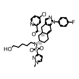 Cn1ccc(S(=O)(=O)N(CCCCCO)[C@H]2CCC3=Cc4c(cnn4-c4ccc(F)cc4)C[C@]3(C(=O)c3cc(Cl)ccn3)C2)n1